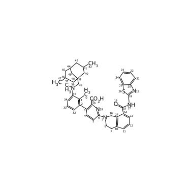 Cc1c(-c2ccc(N3CCc4cccc(C(=O)Nc5nc6ccccc6s5)c4C3)nc2C(=O)O)cccc1N(C)CC12CC(C)CC(CC(C)C1)C2